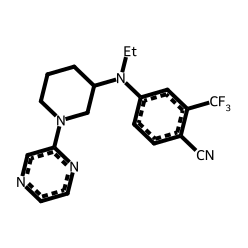 CCN(c1ccc(C#N)c(C(F)(F)F)c1)C1CCCN(c2cnccn2)C1